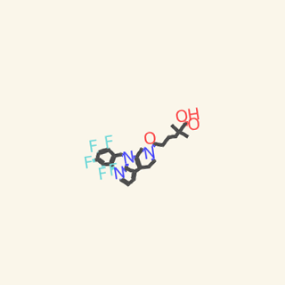 CC(C)(CCCC(=O)N1CCc2c(n(Cc3c(F)c(F)c(F)c(F)c3F)c3ncccc23)C1)C(=O)O